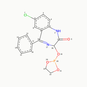 O=C1Nc2ccc(Cl)cc2C(c2ccccc2)=NC1OP1OCCO1